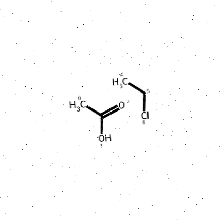 CC(=O)O.CCCl